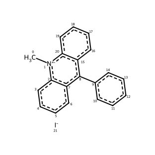 C[n+]1c2ccccc2c(-c2ccccc2)c2ccccc21.[I-]